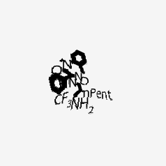 CCCCC[C@@H](CN)C(=O)NC1(c2cccc(C(F)(F)F)c2)N=Cc2ccccc2N(C)C1=O